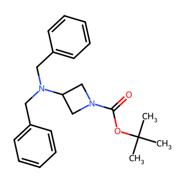 CC(C)(C)OC(=O)N1CC(N(Cc2ccccc2)Cc2ccccc2)C1